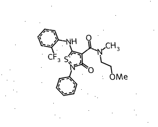 COCCN(C)C(=O)c1c(Nc2ccccc2C(F)(F)F)sn(-c2ccccc2)c1=O